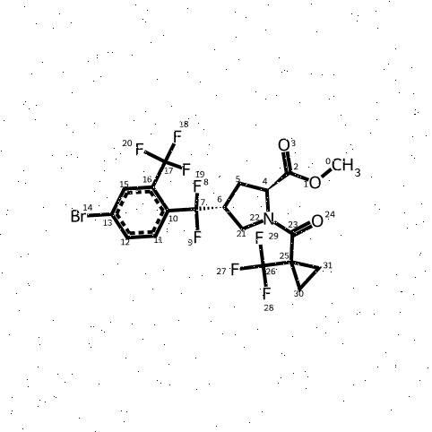 COC(=O)[C@@H]1C[C@@H](C(F)(F)c2ccc(Br)cc2C(F)(F)F)CN1C(=O)C1(C(F)(F)F)CC1